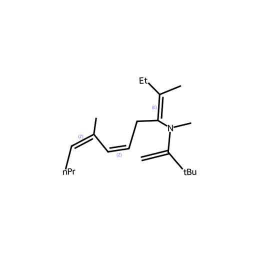 C=C(N(C)/C(C/C=C\C(C)=C/CCC)=C(\C)CC)C(C)(C)C